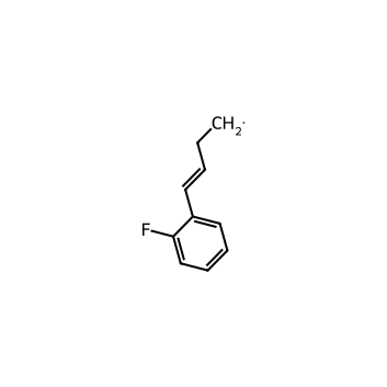 [CH2]CC=Cc1ccccc1F